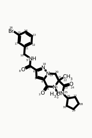 CN1C(=O)c2cc(C(=O)NCc3cccc(Br)c3)nn2CC1(C)C(=O)NC1CCCC1